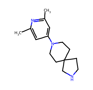 Cc1cc(N2CCC3(CCNC3)CC2)cc(C)n1